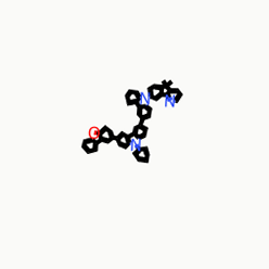 CC1(C)c2ccc(-n3c4ccccc4c4cc(-c5ccc6c(c5)c5cc(-c7ccc8oc9ccccc9c8c7)ccc5n6-c5ccccc5)ccc43)cc2-c2ncccc21